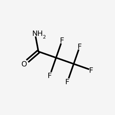 NC(=O)C(F)(F)C(F)(F)F